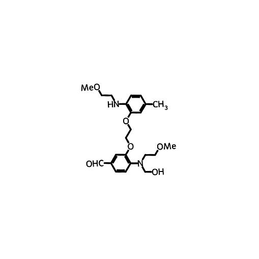 COCCNc1ccc(C)cc1OCCOc1cc(C=O)ccc1N(CO)CCOC